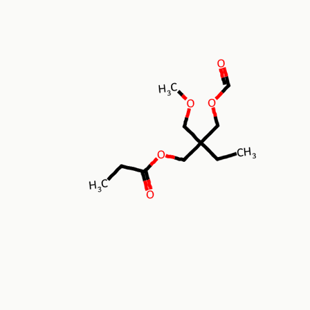 CCC(=O)OCC(CC)(COC)COC=O